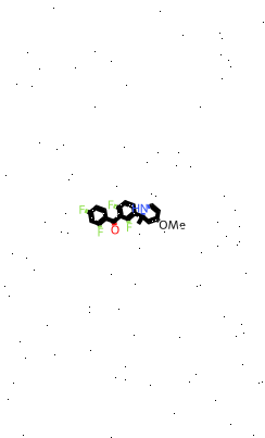 COC1=CC(C)(c2ccc(F)c(C(=O)c3ccc(F)cc3F)c2F)NC=C1